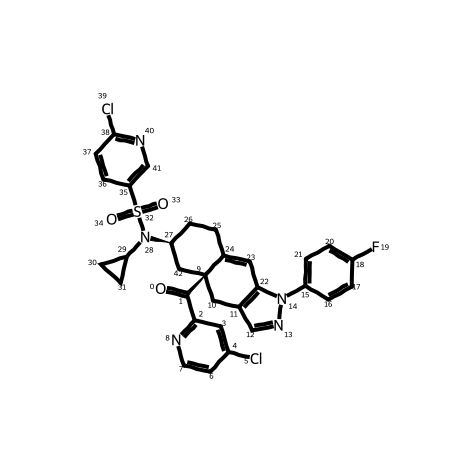 O=C(c1cc(Cl)ccn1)[C@]12Cc3cnn(-c4ccc(F)cc4)c3C=C1CC[C@H](N(C1CC1)S(=O)(=O)c1ccc(Cl)nc1)C2